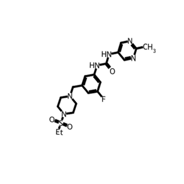 CCS(=O)(=O)N1CCN(Cc2cc(F)cc(NC(=O)Nc3cnc(C)nc3)c2)CC1